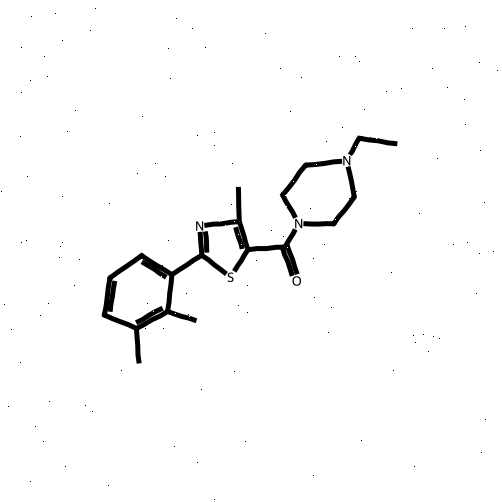 CCN1CCN(C(=O)c2sc(-c3cccc(C)c3C)nc2C)CC1